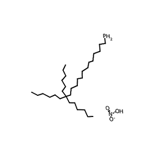 CCCCCCC(CCCCCC)(CCCCCC)CCCCCCCCCCCCCP.O=[N+]([O-])O